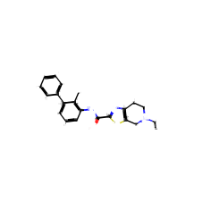 Cc1c(NC(=O)c2nc3c(s2)CN(CC(=O)O)CC3)cccc1-c1ccccc1